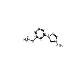 CCCCN1C=CN(c2cccc(CN)c2)C1